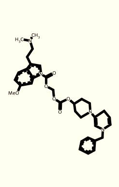 COc1ccc2c(CCN(C)C)cn(C(=O)OCOC(=O)OC3CCN(C4=CN(Cc5ccccc5)C=CC4)CC3)c2c1